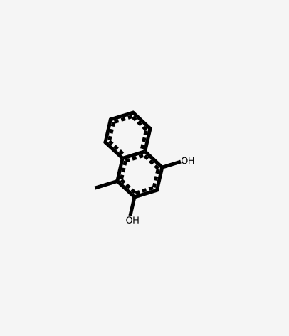 Cc1c(O)cc(O)c2ccccc12